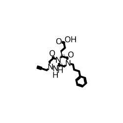 C#CCN1CC(=O)N2[C@H](CN(CCCc3ccccc3)C(=O)[C@@H]2CCC(=O)O)N1